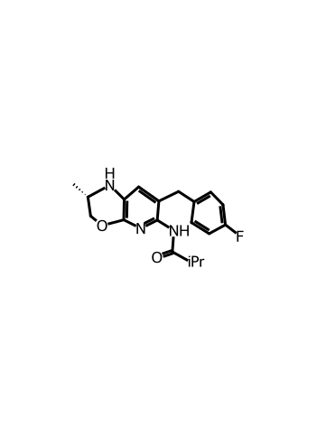 CC(C)C(=O)Nc1nc2c(cc1Cc1ccc(F)cc1)N[C@@H](C)CO2